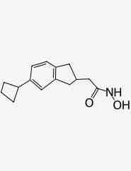 O=C(CC1Cc2ccc(C3CCC3)cc2C1)NO